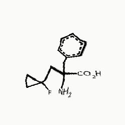 NC(CC1(F)CC1)(C(=O)O)c1ccccc1